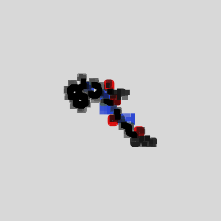 CCCC(=O)N(CC(=O)NCC(=O)NC/C=C/C(=O)OC)C1CCN([C@H](C)c2cccc3ccccc23)CC1